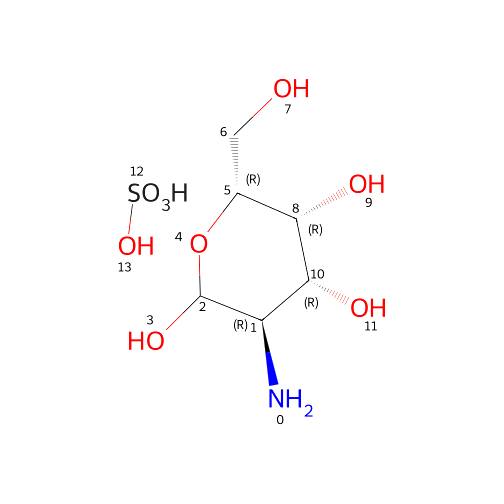 N[C@H]1C(O)O[C@H](CO)[C@H](O)[C@@H]1O.O=S(=O)(O)O